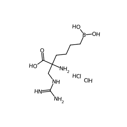 Cl.Cl.N=C(N)NCC(N)(CCCCB(O)O)C(=O)O